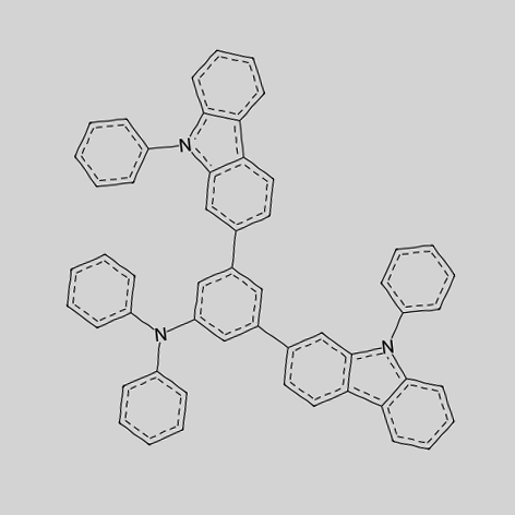 c1ccc(N(c2ccccc2)c2cc(-c3ccc4c5ccccc5n(-c5ccccc5)c4c3)cc(-c3ccc4c5ccccc5n(-c5ccccc5)c4c3)c2)cc1